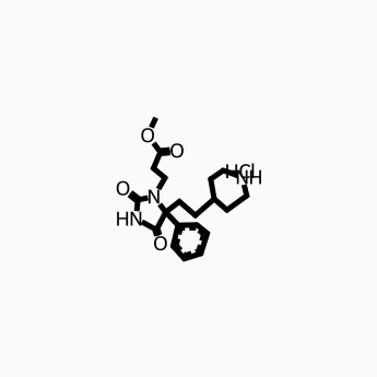 COC(=O)CCN1C(=O)NC(=O)C1(CCC1CCNCC1)c1ccccc1.Cl